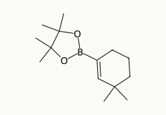 CC1(C)C=C(B2OC(C)(C)C(C)(C)O2)CCC1